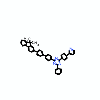 CC1(C)c2ccccc2-c2ccc(-c3ccc(-c4ccc(-c5nc(-c6ccccc6)nc(-c6ccc(-c7cccnc7)cc6)n5)cc4)cc3)cc21